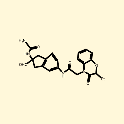 CCC1Oc2ccccc2N(CC(=O)Nc2ccc3c(c2)CC(C=O)(NC(N)=O)C3)C1=O